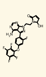 Nc1ncnc2c1c(-c1ccc(Oc3c(F)c(F)cc(F)c3F)cc1F)nn2CCN1C(=O)C=CC1O